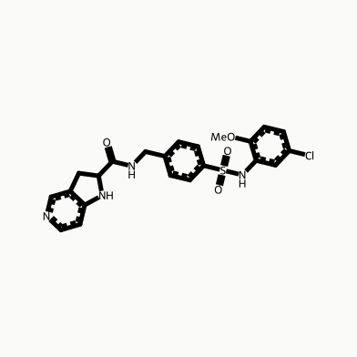 COc1ccc(Cl)cc1NS(=O)(=O)c1ccc(CNC(=O)C2Cc3cnccc3N2)cc1